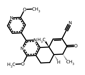 COc1cc(-c2nc(OC)c3c(n2)[C@]2(C)C=C(C#N)C(=O)[C@H](C)[C@H]2CC3)ccn1